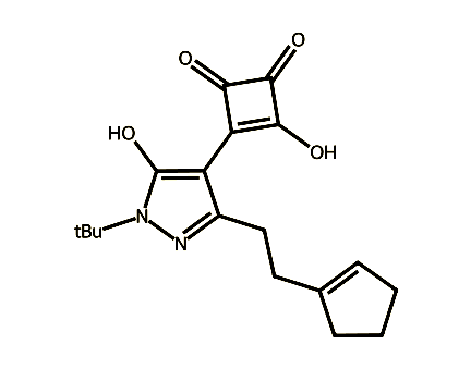 CC(C)(C)n1nc(CCC2=CCCC2)c(-c2c(O)c(=O)c2=O)c1O